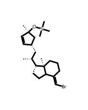 C[C@H](C[C@@H]1C=C[C@@](C)(O[Si](C)(C)C)C1)[C@H]1CCC2/C(=C/Br)CCC[C@@]21C